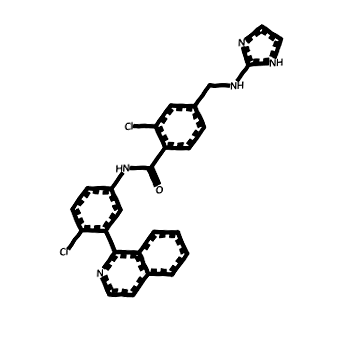 O=C(Nc1ccc(Cl)c(-c2nccc3ccccc23)c1)c1ccc(CNc2ncc[nH]2)cc1Cl